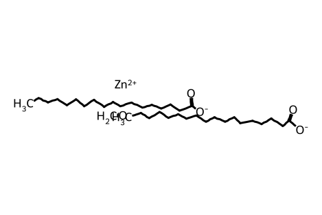 C=O.CCCCCCCCCCCCCCCCCC(=O)[O-].CCCCCCCCCCCCCCCCCC(=O)[O-].[Zn+2]